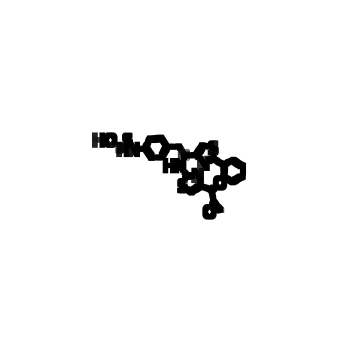 O=C(c1csc(N[C@@H](Cc2ccc(NS(=O)(=O)O)cc2)c2csc(-c3ccccc3)n2)n1)C1CO1